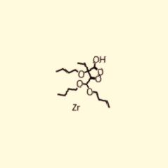 CCCCOC(OCCCC)C(=O)C(CC)(OCCCC)C(=O)O.[Zr]